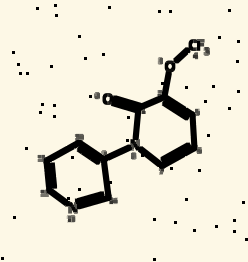 O=c1c(OC(F)(F)F)cccn1-c1cccnc1